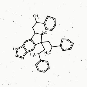 CC(CN1C(=O)C(CC(C)c2ccccc2)(CC(C)c2ccccc2)c2cc3nc[nH]c3cc21)c1ccccc1